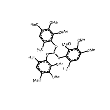 COc1cc(C)c(OB(Oc2c(C)cc(OC)c(OC)c2OC)Oc2c(C)cc(OC)c(OC)c2OC)c(OC)c1OC